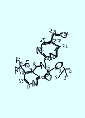 CC(C)(C)OC(=O)N(Cc1cnccc1C(F)(F)F)c1ncc(C=O)cn1